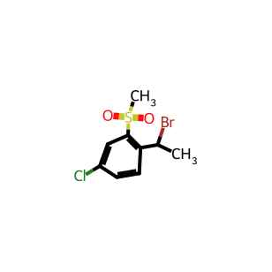 CC(Br)c1ccc(Cl)cc1S(C)(=O)=O